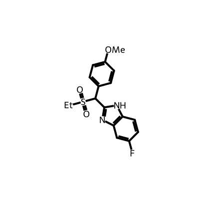 CCS(=O)(=O)C(c1ccc(OC)cc1)c1nc2cc(F)ccc2[nH]1